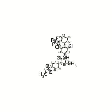 CCS(=O)(=O)c1ccc(C(COC)C(=O)Nc2cc(Cl)c(-c3ccccc3OC(F)(F)F)c(Cl)c2)cc1